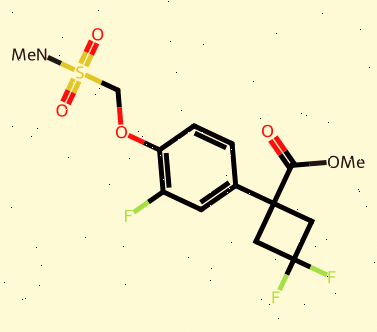 CNS(=O)(=O)COc1ccc(C2(C(=O)OC)CC(F)(F)C2)cc1F